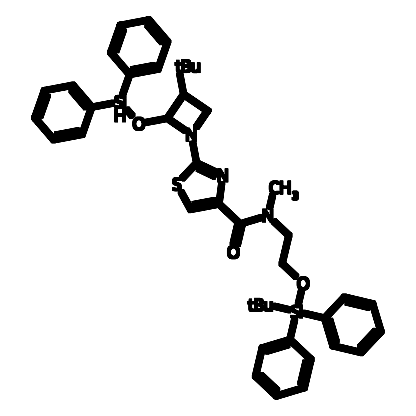 CN(CCO[Si](c1ccccc1)(c1ccccc1)C(C)(C)C)C(=O)c1csc(N2CC(C(C)(C)C)C2O[SiH](c2ccccc2)c2ccccc2)n1